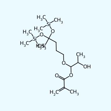 C=C(C)C(=O)OC(OCCCC([SiH3])(O[Si](C)(C)C)O[Si](C)(C)C)C(C)O